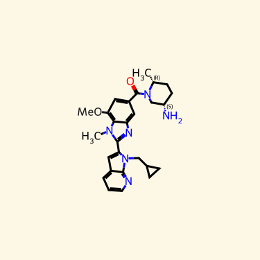 COc1cc(C(=O)N2C[C@@H](N)CC[C@H]2C)cc2nc(-c3cc4cccnc4n3CC3CC3)n(C)c12